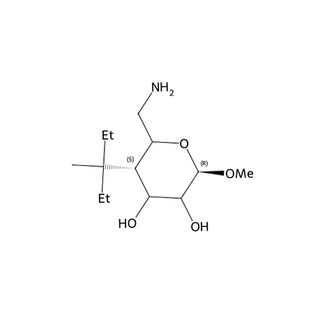 CCC(C)(CC)[C@@H]1C(CN)O[C@@H](OC)C(O)C1O